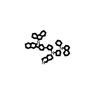 c1ccc(N(c2cccc(N(c3cccc(-c4ccc5c6cc7ccccc7cc6n(-c6cc7ccccc7c7ccccc67)c5c4)c3)c3ccc4cnccc4c3)c2)c2cccc3ccccc23)cc1